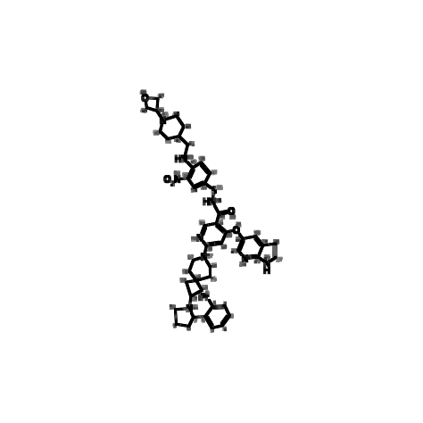 CC(C)c1ccccc1C1CCCN1C1CC2(CCN(c3cc(Oc4cnc5[nH]ccc5c4)c(C(=O)NSc4ccc(NCC5CCN(C6COC6)CC5)c([N+](=O)[O-])c4)cn3)CC2)C1